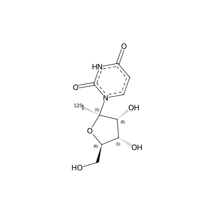 O=c1ccn([C@]2([125I])O[C@H](CO)[C@@H](O)[C@H]2O)c(=O)[nH]1